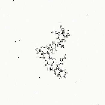 CCOCCn1c(NC2CCN(CCC3(c4ccc(CC)c(CC)c4)CCN(C(=O)c4cc(OC)c(OC)c(OC)c4)C3)CC2)nc2ccccc21